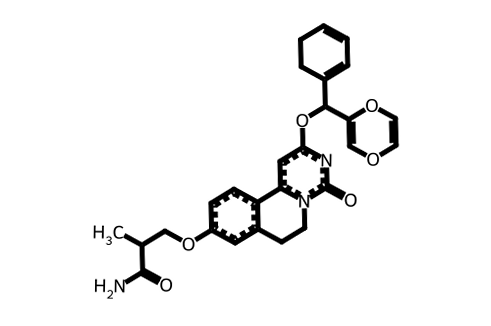 CC(COc1ccc2c(c1)CCn1c-2cc(OC(C2=CC=CCC2)C2=COC=CO2)nc1=O)C(N)=O